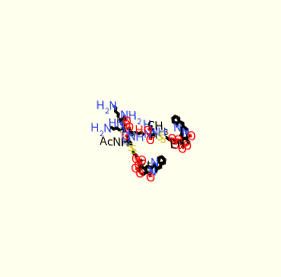 CC[C@]1(OC(=O)OCCSSC[C@@H](NC(C)=O)C(=O)N[C@@H](CCCCNC(=O)[C@@H](CSSCCOC(=O)O[C@]2(CC)C(=O)OCc3c2cc2n(c3=O)Cc3cc4ccccc4nc3-2)NC(C)O)C(=O)N[C@@H](CCCCN)C(=O)N[C@@H](CCCCN)C(N)=O)C(=O)OCc2c1cc1n(c2=O)Cc2cc3ccccc3nc2-1